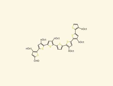 CCCCCCCCc1ccsc1-c1cc(CCCCCCCC)c(-c2cc(CCCCCCCC)c(-c3ccc(-c4sc(-c5sc(-c6sc(C=O)cc6CCCCCCCC)cc5CCCCCCCC)cc4CCCCCCCC)s3)s2)s1